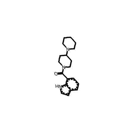 O=C(c1cccc2[c]c[nH]c12)N1CCC(N2CCCCC2)CC1